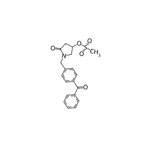 CS(=O)(=O)OC1CC(=O)N(Cc2ccc(C(=O)c3ccccc3)cc2)C1